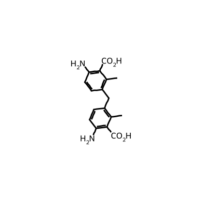 Cc1c(Cc2ccc(N)c(C(=O)O)c2C)ccc(N)c1C(=O)O